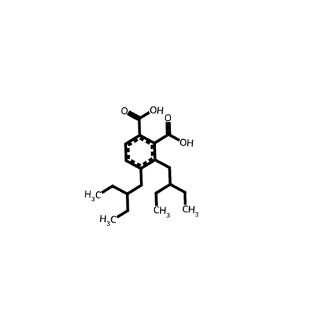 CCC(CC)Cc1ccc(C(=O)O)c(C(=O)O)c1CC(CC)CC